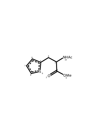 COC(=O)C(Cc1cccs1)NC(C)=O